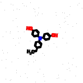 C=Cc1ccc(N(c2ccc(O)cc2)c2ccc(O)cc2)cc1